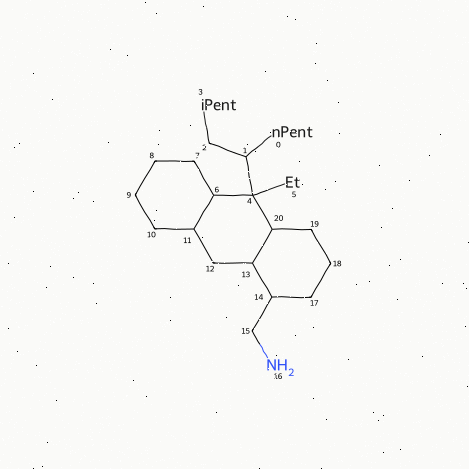 CCCCCC(CC(C)CCC)C1(CC)C2CCCCC2CC2C(CN)CCCC21